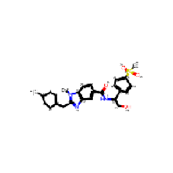 CCn1c(CC2CCC(C(F)(F)F)CC2)nc2cc(C(=O)NC(CO)c3ccc(S(=O)(=O)CC)cc3)ccc21